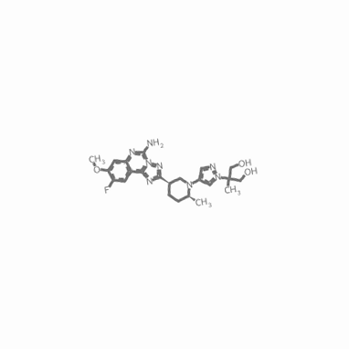 COc1cc2nc(N)n3nc([C@@H]4CC[C@H](C)N(c5cnn(C(C)(CO)CO)c5)C4)nc3c2cc1F